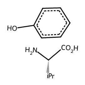 CC(C)[C@H](N)C(=O)O.Oc1ccccc1